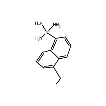 CCc1cccc2c([N+](N)(N)N)cccc12